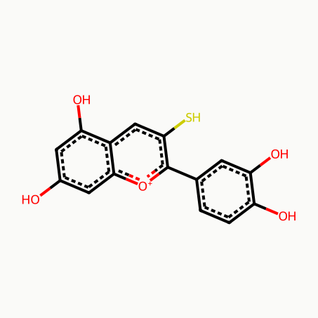 Oc1cc(O)c2cc(S)c(-c3ccc(O)c(O)c3)[o+]c2c1